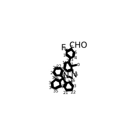 Cc1c(-c2ccc(C=O)c(F)c2)ccc2c1ncn2C(c1ccccc1)(c1ccccc1)c1ccccc1